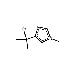 CCC(C)(C)c1cn(C)cn1